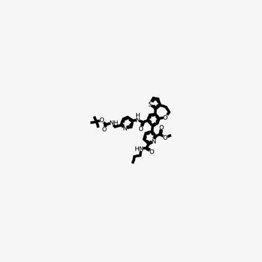 CCCNC(=O)c1ccc(-c2cc3c(cc2C(=O)Nc2ccc(CNC(=O)OC(C)(C)C)nc2)-c2sccc2CCO3)c(C(=O)OC)n1